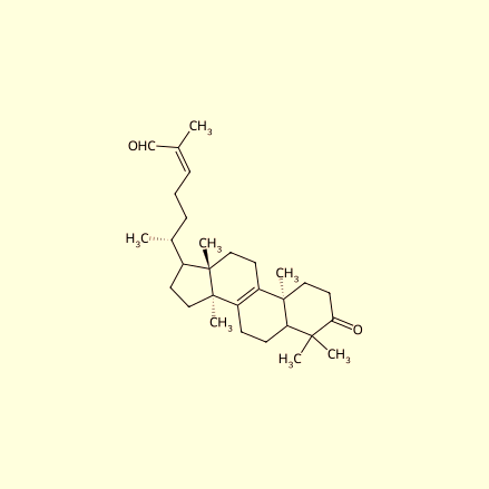 C/C(C=O)=C/CC[C@@H](C)C1CC[C@]2(C)C3=C(CC[C@@]12C)[C@@]1(C)CCC(=O)C(C)(C)C1CC3